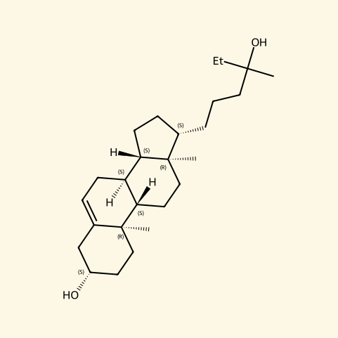 CCC(C)(O)CCC[C@H]1CC[C@H]2[C@@H]3CC=C4C[C@@H](O)CC[C@]4(C)[C@H]3CC[C@]12C